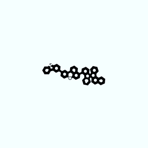 C1=CC2c3c(-c4ccc5c6c(cccc46)-c4cc(-c6ccc7sc8ccccc8c7c6)ccc4O5)cccc3C3(c4ccccc4-c4c3ccc3ccccc43)C2C=C1